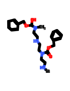 CCNCCN(CCNCCN(C)C(O)OCc1ccccc1)C(=O)OCc1ccccc1